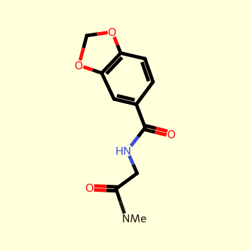 CNC(=O)CNC(=O)c1ccc2c(c1)OCO2